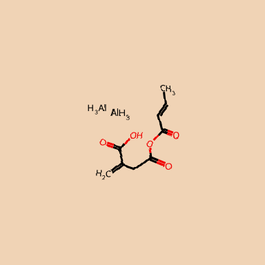 C=C(CC(=O)OC(=O)C=CC)C(=O)O.[AlH3].[AlH3]